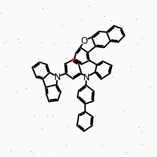 c1ccc(-c2ccc(N(c3cccc(-n4c5ccccc5c5ccccc54)c3)c3ccccc3-c3cccc4oc5cc6ccccc6cc5c34)cc2)cc1